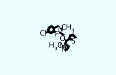 CN(CCOC(c1cccs1)c1ccnn1C)Cc1ccc(Cl)cc1F